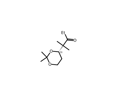 CCC(=O)C(C)(C)[C@@H]1CCOC(C)(C)O1